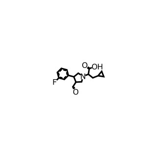 O=CC1CN(C(CC2CC2)C(=O)O)CC1c1cccc(F)c1